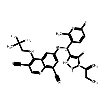 C=C(CC)N1NNC([C@@H](Nc2cc(C#N)c3ncc(C#N)c(NCC(C)(C)C)c3c2)c2ccc(F)nc2C)=C1F